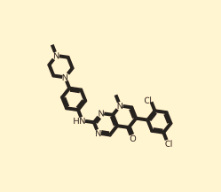 CN1CCN(c2ccc(Nc3ncc4c(=O)c(-c5cc(Cl)ccc5Cl)cn(C)c4n3)cc2)CC1